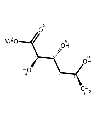 COC(=O)[C@H](O)[C@H](O)C[C@H](C)O